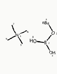 CCCCOB(O)O.C[N+](C)(C)C